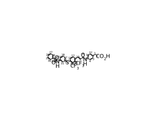 O=C(O)Cc1ccc(NC(=O)C=Cc2ccc(Sc3cccc(NS(=O)(=O)c4ccccc4)c3)c(C(F)(F)F)c2C(F)(F)F)cc1